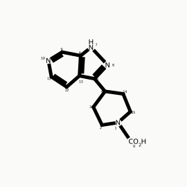 O=C(O)N1CCC(c2n[nH]c3cnccc23)CC1